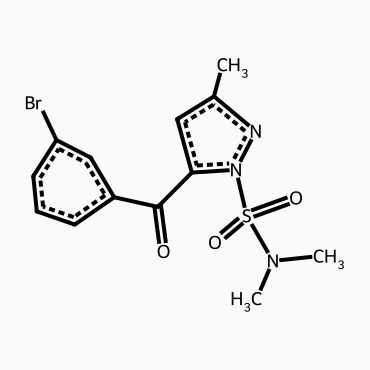 Cc1cc(C(=O)c2cccc(Br)c2)n(S(=O)(=O)N(C)C)n1